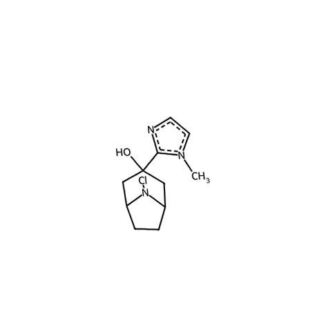 Cn1ccnc1C1(O)CC2CCC(C1)N2Cl